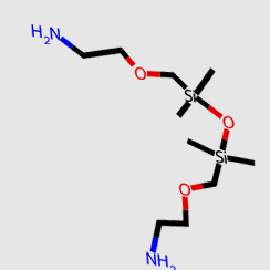 C[Si](C)(COCCN)O[Si](C)(C)COCCN